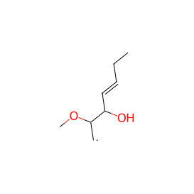 [CH2]C(OC)C(O)/C=C/CC